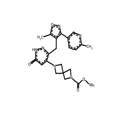 Cc1ccc(-c2noc(C)c2Cc2n[nH]c(=O)cc2N2CC3(CN(C(=O)OC(C)(C)C)C3)C2)cn1